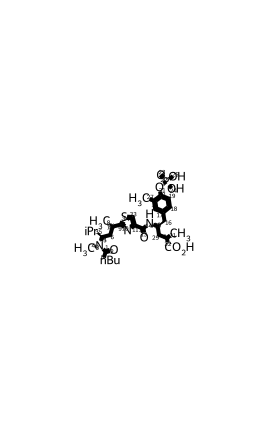 CCCCC(=O)N(C)[C@H](C[C@@H](C)c1nc(C(=O)N[C@@H](Cc2ccc(OP(=O)(O)O)c(C)c2)CC(C)C(=O)O)cs1)C(C)C